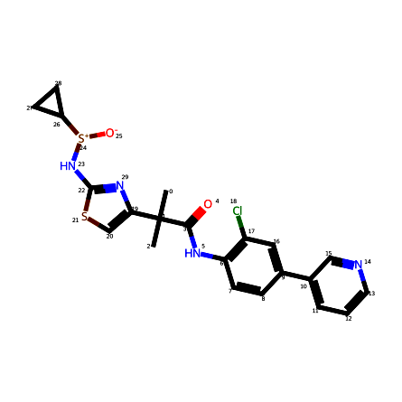 CC(C)(C(=O)Nc1ccc(-c2cccnc2)cc1Cl)c1csc(N[S+]([O-])C2CC2)n1